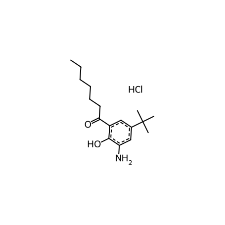 CCCCCCC(=O)c1cc(C(C)(C)C)cc(N)c1O.Cl